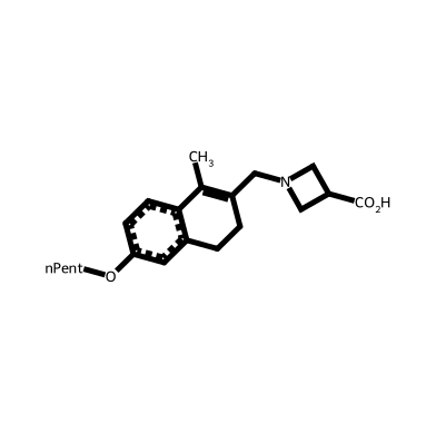 CCCCCOc1ccc2c(c1)CCC(CN1CC(C(=O)O)C1)=C2C